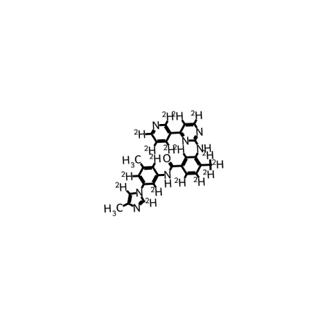 [2H]c1nc(Nc2c([2H])c(C(=O)Nc3c([2H])c(C)c([2H])c(-n4c([2H])nc(C)c4[2H])c3[2H])c([2H])c([2H])c2C([2H])([2H])[2H])nc(-c2c([2H])nc([2H])c([2H])c2[2H])c1[2H]